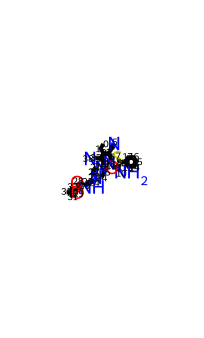 CCc1c(C#N)c(SC(C(N)=O)c2ccccc2)nc(N2CCN(CCNC(=O)OC(C)(C)C)CC2)c1C#N